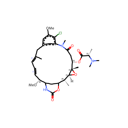 COc1cc2cc(c1Cl)N(C)C(=O)C[C@H](OC(=O)[C@H](C)N(C)C)[C@]1(C)O[C@H]1[C@H](C)C1CC(NC(=O)O1)[C@H](OC)/C=C/C=C(\C)C2